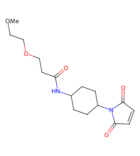 COCCOCCC(=O)NC1CCC(N2C(=O)C=CC2=O)CC1